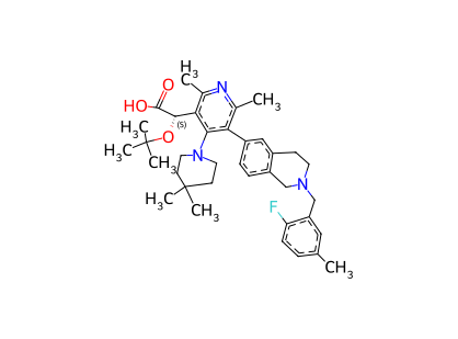 Cc1ccc(F)c(CN2CCc3cc(-c4c(C)nc(C)c([C@H](OC(C)(C)C)C(=O)O)c4N4CCC(C)(C)CC4)ccc3C2)c1